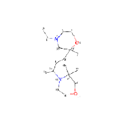 CCN1CCOC(C)(CCC(C)N2CCOCC2(C)C)C1